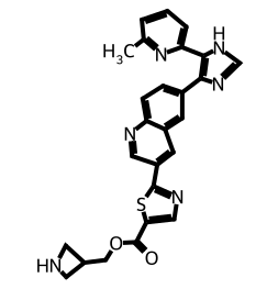 Cc1cccc(-c2[nH]cnc2-c2ccc3ncc(-c4ncc(C(=O)OCC5CNC5)s4)cc3c2)n1